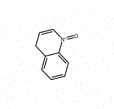 O=[N+]1C=CCc2ccccc21